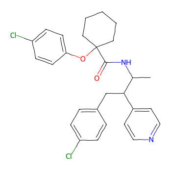 CC(NC(=O)C1(Oc2ccc(Cl)cc2)CCCCC1)C(Cc1ccc(Cl)cc1)c1ccncc1